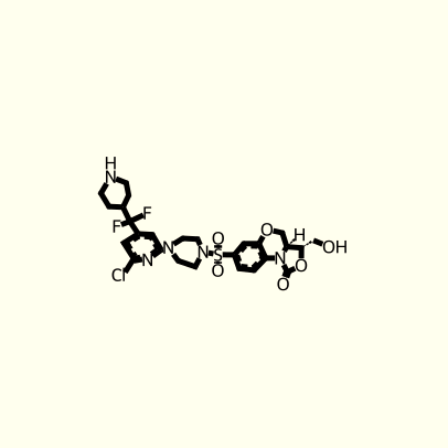 O=C1O[C@@H](CO)[C@@H]2COc3cc(S(=O)(=O)N4CCN(c5cc(C(F)(F)C6CCNCC6)cc(Cl)n5)CC4)ccc3N12